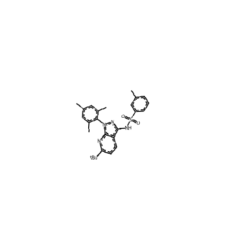 Cc1cccc(S(=O)(=O)Nc2nn(-c3c(C)cc(C)cc3C)c3nc(C(C)(C)C)ccc23)c1